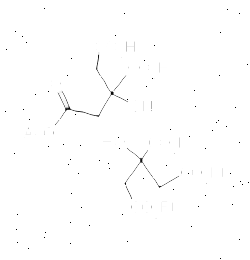 CC(=O)OC(=O)CC(O)(CC(=O)O)C(=O)O.CCOC(=O)CC(O)(CC(=O)OCC)C(=O)OCC